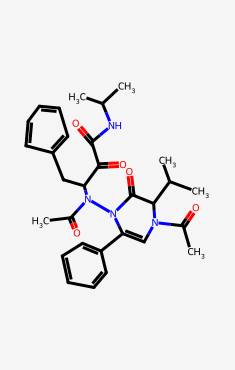 CC(=O)N1C=C(c2ccccc2)N(N(C(C)=O)C(Cc2ccccc2)C(=O)C(=O)NC(C)C)C(=O)C1C(C)C